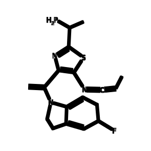 C=C(c1nc(C(C)P)sc1N=C=CC)N1CCC2=CC(F)CC=C21